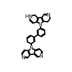 C1=CC(c2cccc(-n3c4c(c5c3CCN=C5)CNC=C4)c2)=CC(n2c3ccncc3c3cnccc32)C1